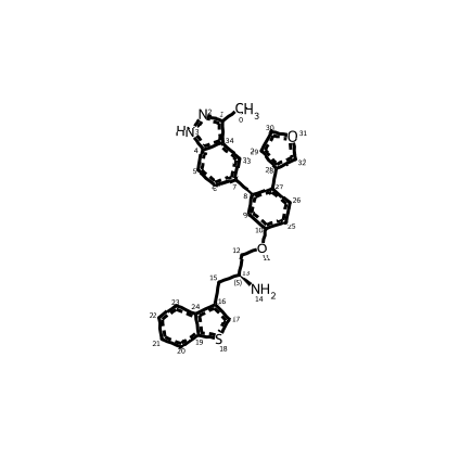 Cc1n[nH]c2ccc(-c3cc(OC[C@@H](N)Cc4csc5ccccc45)ccc3-c3ccoc3)cc12